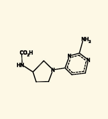 Nc1nccc(N2CCC(NC(=O)O)C2)n1